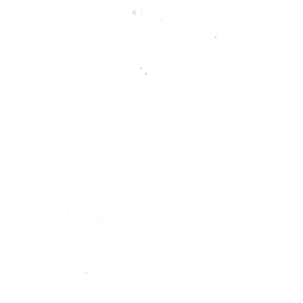 CC(C)(C)OC(=O)NC(Cc1ccc(OC(=O)OC(C)(C)C)cc1)C(=O)O